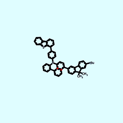 CC(C)(C)c1ccc2c(c1)C(C)(C)c1ccc(-c3ccc(N(c4ccc(-c5cccc6c5sc5ccccc56)cc4)c4ccccc4-c4ccccc4)cc3)cc1-2